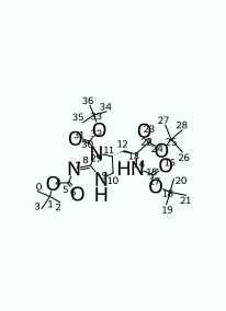 CC(C)(C)OC(=O)/N=C1\NC[C@@H](C[C@H](NC(=O)OC(C)(C)C)C(=O)OC(C)(C)C)N1C(=O)OC(C)(C)C